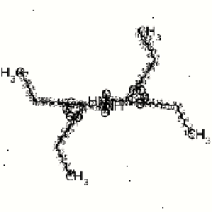 CCCCCCCC/C=C\CCCCCCCC(=O)OCCN(CCCCC1NC(=O)C(CCCCN(CCOC(=O)CCCCCCC/C=C\CCCCCCCC)CCOC(=O)CCCCCCC/C=C\CCCCCCCC)NC1=O)CCOC(=O)CCCCCCC/C=C\CCCCCCCC